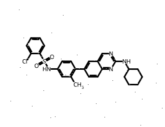 Cc1cc(NS(=O)(=O)c2ccccc2Cl)ccc1-c1ccc2nc(NC3CCCCC3)ncc2c1